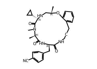 C[C@@H]1CN[C@@H](C2CC2)C(=O)N(C)[C@H](C)C(=O)N[C@H](Cc2ccc(C#N)cc2)C(=O)NCCCc2ccccc2O1